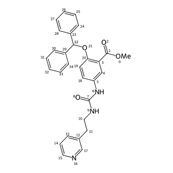 COC(=O)c1cc(NC(=O)NCCc2cccnc2)ccc1OC(c1ccccc1)c1ccccc1